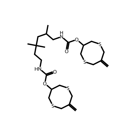 C=C1CSCC(OC(=O)NCCC(C)(C)CC(C)CNC(=O)OC2CSCC(=C)CSC2)CSC1